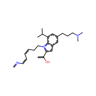 C=N/C=C\C=C/CCn1c(C(=C)O)cc2cc(CCCN(C)C)cc(C(C)C)c21